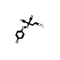 C=CCC(C#N)(C#N)N=Nc1ccc(Br)cc1